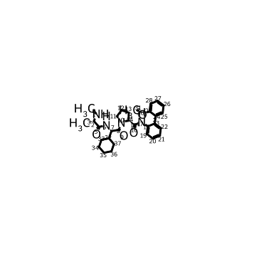 CN[C@@H](C)C(=O)N[C@H](C(=O)N1CCC[C@H]1C(=O)Nc1ccccc1-c1ccccc1OC)C1CCCCC1